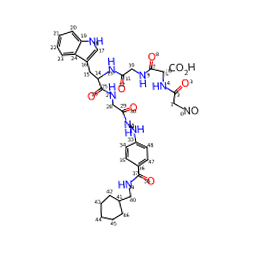 O=NCC(=O)N[C@@H](C(=O)O)C(=O)NCC(=O)NC(Cc1c[nH]c2ccccc12)C(=O)NCC(=O)NNc1ccc(C(=O)NCC2CCCCC2)cc1